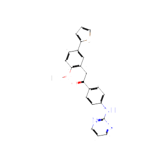 COc1ccc(-c2cccs2)cc1CC(=O)c1ccc(Nc2ncccn2)cc1